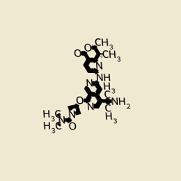 C[C@@H]1OC(=O)c2ccc(Nc3cc4c(C(C)(C)N)cnc(OC5CN(C(=O)N(C)C)C5)c4cn3)nc2[C@H]1C